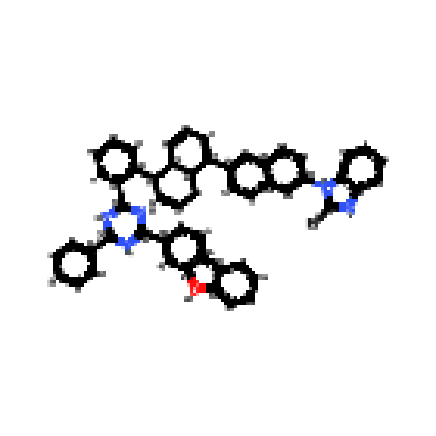 CCc1nc2ccccc2n1-c1ccc2cc(C3=CC=CC4C3CC=CC4c3ccccc3-c3nc(-c4ccccc4)nc(-c4ccc5c(c4)oc4ccccc45)n3)ccc2c1